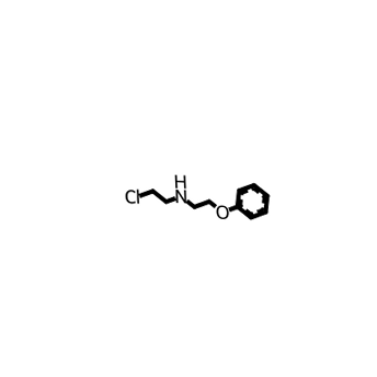 ClCCNCCOc1ccccc1